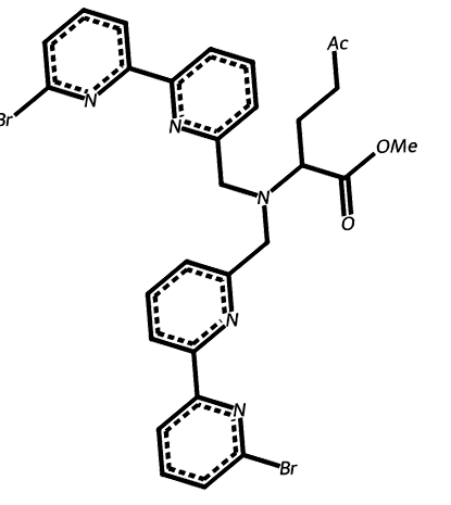 COC(=O)C(CCC(C)=O)N(Cc1cccc(-c2cccc(Br)n2)n1)Cc1cccc(-c2cccc(Br)n2)n1